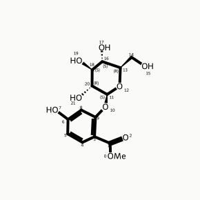 COC(=O)c1ccc(O)cc1O[C@@H]1O[C@H](CO)[C@@H](O)[C@H](O)[C@H]1O